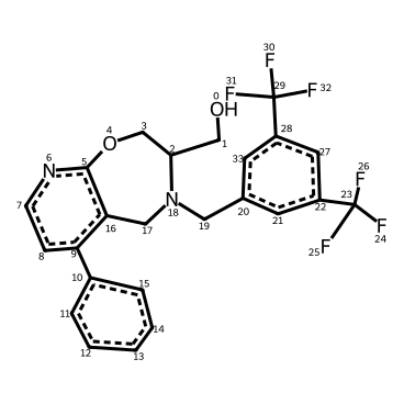 OCC1COc2nccc(-c3ccccc3)c2CN1Cc1cc(C(F)(F)F)cc(C(F)(F)F)c1